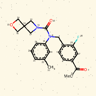 COC(=O)c1ccc(CN(C(=O)N2CC3(COC3)C2)c2cccc(C)c2)c(F)c1